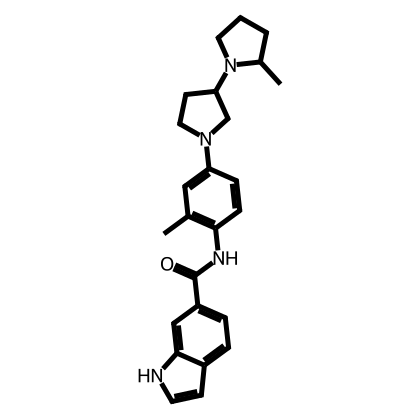 Cc1cc(N2CCC(N3CCCC3C)C2)ccc1NC(=O)c1ccc2cc[nH]c2c1